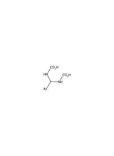 CC(=O)C(NC(=O)O)NC(=O)O